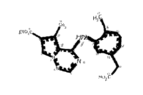 CCOC(=O)c1cn2ncnc(Nc3cc(CC(=O)O)ccc3C)c2c1C